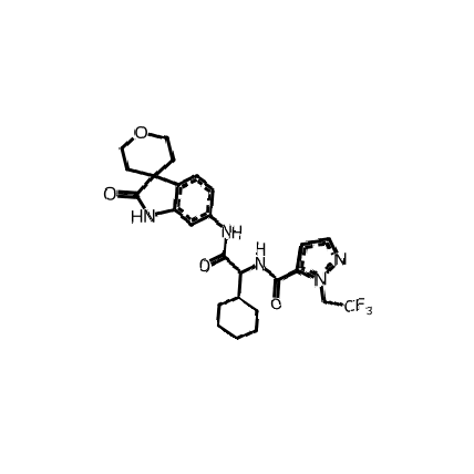 O=C(NC(C(=O)Nc1ccc2c(c1)NC(=O)C21CCOCC1)C1CCCCC1)c1ccnn1CC(F)(F)F